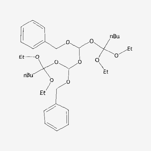 CCCCC(OCC)(OCC)OC(OCc1ccccc1)OC(OCc1ccccc1)OC(CCCC)(OCC)OCC